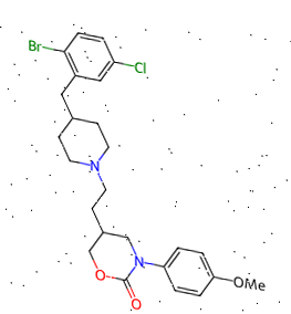 COc1ccc(N2CC(CCN3CCC(Cc4cc(Cl)ccc4Br)CC3)COC2=O)cc1